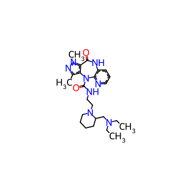 CCN(CC)CC1CCCCN1CCNC(=O)N1c2ncccc2NC(=O)c2c1c(C)nn2C